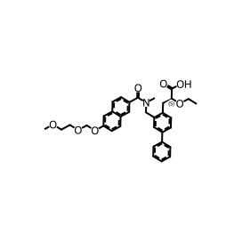 CCO[C@@H](Cc1ccc(-c2ccccc2)cc1CN(C)C(=O)c1ccc2cc(OCOCCOC)ccc2c1)C(=O)O